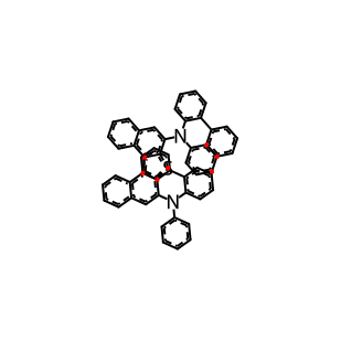 c1ccc(-c2ccccc2N(c2ccccc2)c2cc3ccccc3c3c2sc2c(N(c4ccccc4)c4ccccc4-c4ccccc4)cc4ccccc4c23)cc1